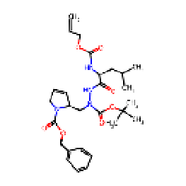 C=CCOC(=O)N[C@@H](CC(C)C)C(=O)NN(C[C@@H]1C=CCN1C(=O)OCc1ccccc1)C(=O)OC(C)(C)C